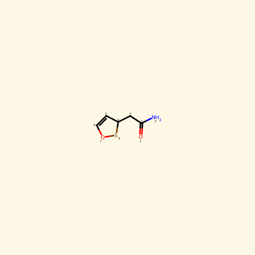 NC(=O)CC1C=COS1